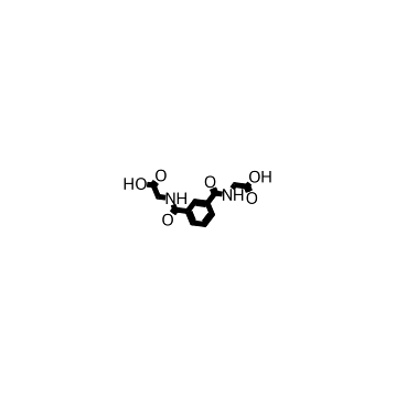 O=C(O)CNC(=O)c1cccc(C(=O)NCC(=O)O)c1